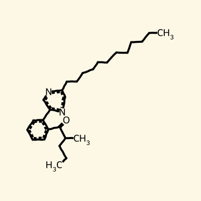 CCCCCCCCCCCCc1cnc(-c2ccccc2C(=O)C(C)CCC)cn1